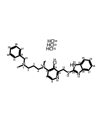 CN(CCCN(C)c1ccnc(CSc2nc3ccccc3[nH]2)c1Cl)Cc1ccccc1.Cl.Cl.Cl